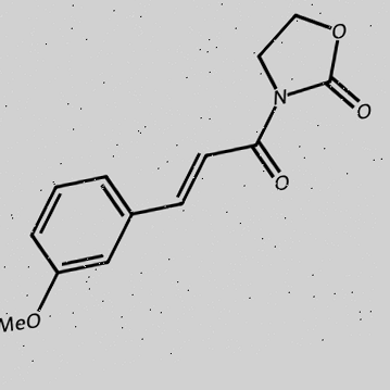 COc1cccc(/C=C/C(=O)N2CCOC2=O)c1